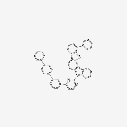 c1ccc(-c2ccc(-c3cccc(-c4ccnc(-n5c6ccccc6c6c7sc8c(-c9ccccc9)cccc8c7ccc65)n4)c3)cc2)cc1